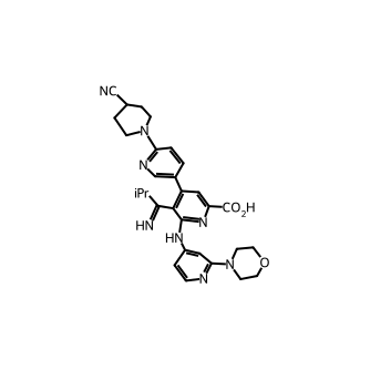 CC(C)C(=N)c1c(-c2ccc(N3CCC(C#N)CC3)nc2)cc(C(=O)O)nc1Nc1ccnc(N2CCOCC2)c1